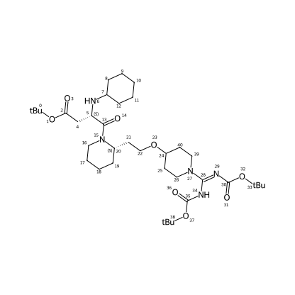 CC(C)(C)OC(=O)C[C@H](NC1CCCCC1)C(=O)N1CCCC[C@H]1CCOC1CCN(C(=NC(=O)OC(C)(C)C)NC(=O)OC(C)(C)C)CC1